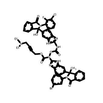 CCN(CC)CC#CCOC(=O)N(OC(=O)Nc1nc2ccc(C3(O)c4ccccc4C(=O)N3c3cccc(Cl)c3F)cc2[nH]1)c1nc2ccc(C3(C)c4ccccc4C(=O)N3c3cccc(Br)c3)cc2[nH]1